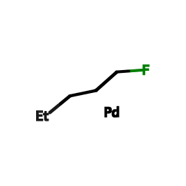 CCCCCF.[Pd]